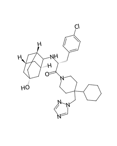 O=C([C@@H](Cc1ccc(Cl)cc1)NC1[C@@H]2C[C@H]3C[C@H]1C[C@](O)(C3)C2)N1CCC(Cn2cncn2)(C2CCCCC2)CC1